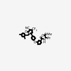 COC(=O)C(NC(=O)c1cccc(Oc2ccc(-c3cc(C(F)(F)F)c(C#N)c(=O)n3Cc3ccc(C)cc3C)cc2)c1)C(C)C